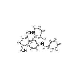 Cc1cnc(C#N)c2ccc(N(Cc3ccccc3)Cc3ccccc3)cc12